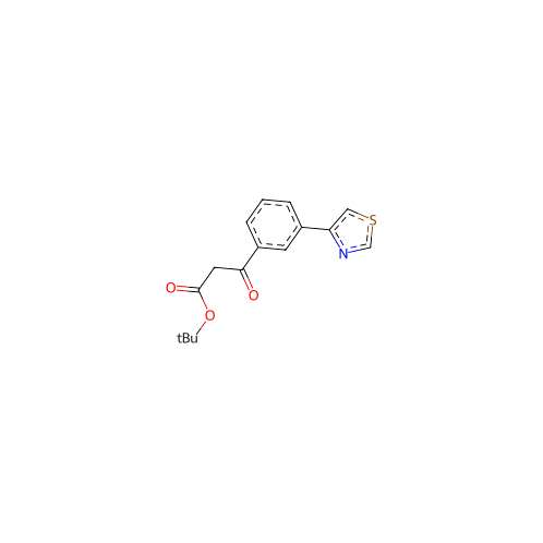 CC(C)(C)OC(=O)CC(=O)c1cccc(-c2cscn2)c1